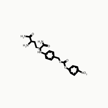 NC(=O)C(N)CC[C@H](Nc1ccc(COC(=O)Oc2ccc([N+](=O)[O-])cc2)cc1)C(N)=O